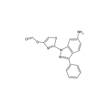 Nc1ccc2c(-c3ccccc3)nn(-c3nc(OC=O)cs3)c2c1